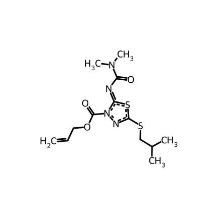 C=CCOC(=O)n1nc(SCC(C)C)sc1=NC(=O)N(C)C